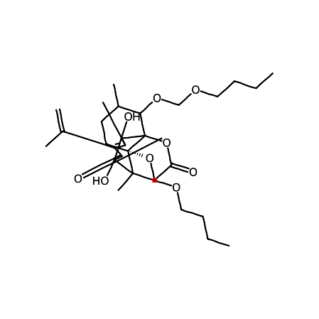 C=C(C)C1=C(C)C2(O)C(O)(C1=O)C1(C)CC(=O)OC23C(OCOCCCC)C(C)CC[C@]13OCOCCCC